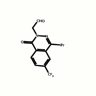 CC(C)c1nn(CC=O)c(=O)c2ccc(C(F)(F)F)cc12